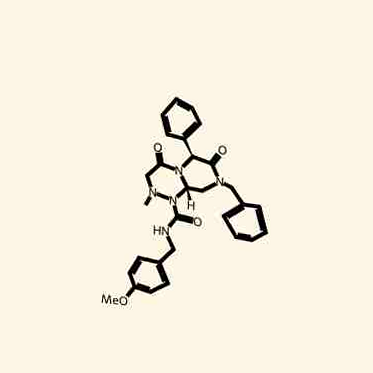 COc1ccc(CNC(=O)N2[C@H]3CN(Cc4ccccc4)C(=O)[C@H](c4ccccc4)N3C(=O)CN2C)cc1